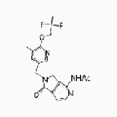 CC(=O)Nc1nccc2c1CN(Cc1cnc(OCC(C)(F)F)c(C)c1)C2=O